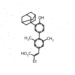 CCC(=Cc1cc(C)c(-c2ccc(O)c(C34CC5CC(CC(C5)C3)C4)c2)c(C)c1)C(=O)O